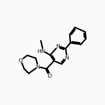 CNc1nc(-c2ccccc2)ncc1C(=O)N1CCOCC1